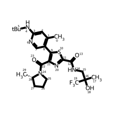 Cc1cc(NC(C)(C)C)ncc1-c1sc(C(=O)NCC(C)(O)C(F)(F)F)nc1C(=O)N1CCC[C@@H]1C